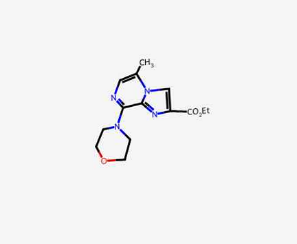 CCOC(=O)c1cn2c(C)cnc(N3CCOCC3)c2n1